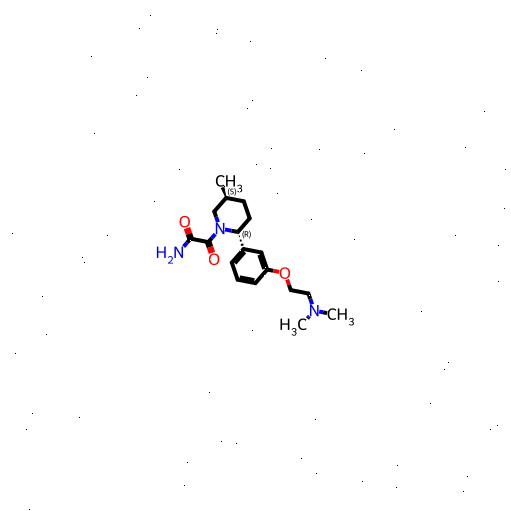 C[C@H]1CC[C@H](c2cccc(OCCN(C)C)c2)N(C(=O)C(N)=O)C1